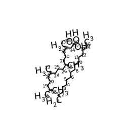 C=CCCCCCCCCCCCCCC.CC(C)CCCC(C)CCCC(C)CCCC(C)CC(O)(O)O